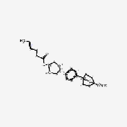 C/C=C/CCC(=O)O[C@H]1CO[C@H](c2ccc(C34CCC(CCCCC)(CC3)CC4)cc2)CO1